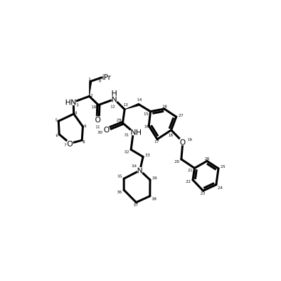 CC(C)C[C@H](NC1CCOCC1)C(=O)N[C@@H](Cc1ccc(OCc2ccccc2)cc1)C(=O)NCCN1CCCCC1